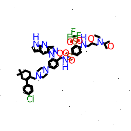 CC1(C)CCC(CN2CCN(c3ccc(C(=O)NS(=O)(=O)c4ccc(NCC5CN(C6COC6)CCO5)c(S(=O)(=O)C(F)(F)F)c4)c(-n4ncc5nc6[nH]ccc6cc54)c3)CC2)=C(c2ccc(Cl)cc2)C1